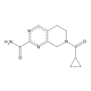 NC(=O)c1n[c]c2c(n1)CN(C(=O)C1CC1)CC2